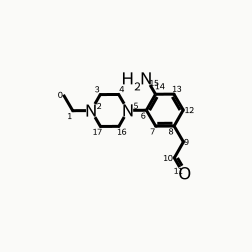 CCN1CCN(c2cc(CC=O)ccc2N)CC1